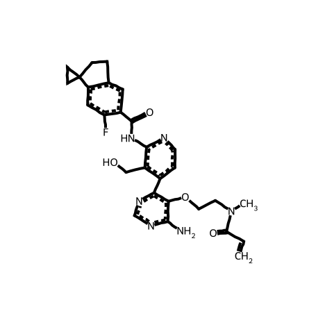 C=CC(=O)N(C)CCOc1c(N)ncnc1-c1ccnc(NC(=O)c2cc3c(cc2F)C2(CC3)CC2)c1CO